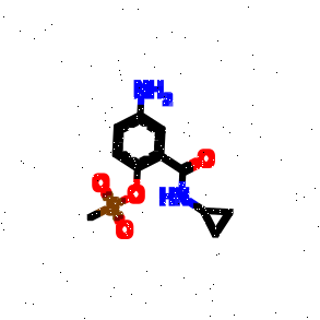 CS(=O)(=O)Oc1ccc(N)cc1C(=O)NC1CC1